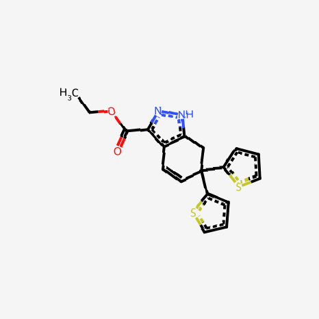 CCOC(=O)c1n[nH]c2c1C=CC(c1cccs1)(c1cccs1)C2